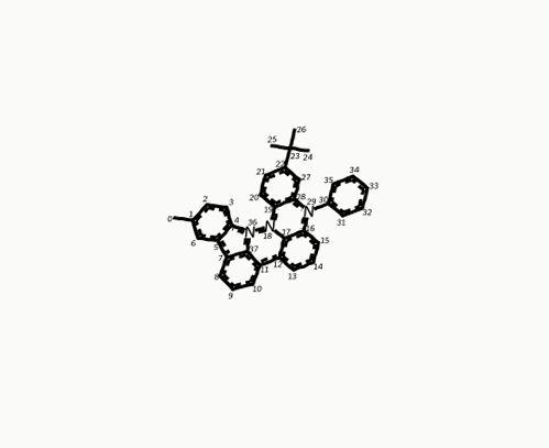 Cc1ccc2c(c1)c1cccc3c4cccc5c4-n(c4ccc(C(C)(C)C)cc4n5-c4ccccc4)n2c31